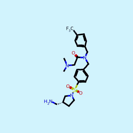 CN(C)CC(=O)N(Cc1ccc(C(F)(F)F)cc1)Cc1ccc(S(=O)(=O)N2CC[C@H](CN)C2)cc1